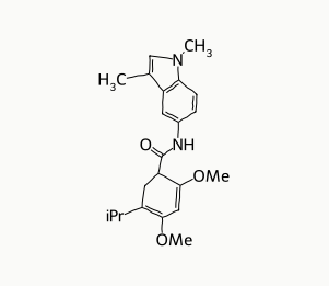 COC1=CC(OC)=C(C(C)C)CC1C(=O)Nc1ccc2c(c1)c(C)cn2C